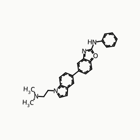 CN(C)CCn1ccc2cc(-c3ccc4oc(Nc5ccccc5)nc4c3)ccc21